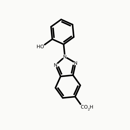 O=C(O)c1ccc2nn(-c3ccccc3O)nc2c1